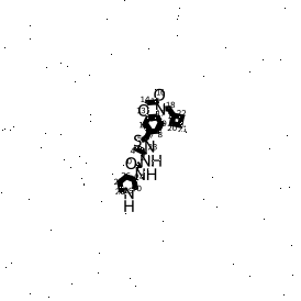 O=C(Nc1csc(-c2ccc3c(c2)OCC(=O)N3CC2CCC2)n1)NC1CCCNC1